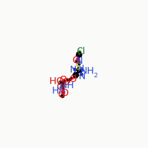 C[C@@H](O)[C@H](NC(=O)CNC(=O)OC(C)(C)C)C(=O)OC[CH]COc1ccc(-c2c(C#N)c(N)nc(SCc3coc(-c4ccc(Cl)cc4)n3)c2C#N)cc1